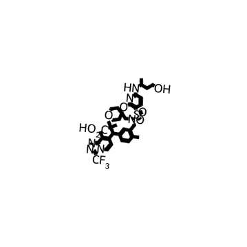 Cc1ccc(C(c2ccn3c(C(F)(F)F)nnc3c2C)C(C)(C)C(=O)O)cc1CN1CC2(CCOCC2)Oc2nc(NC(C)CCO)ccc2S1(=O)=O